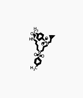 Cc1ccc(S(=O)(=O)N(CCCCNC=O)CCCN(CC2CC2)S(=O)(=O)c2ccc(C)cc2)cc1